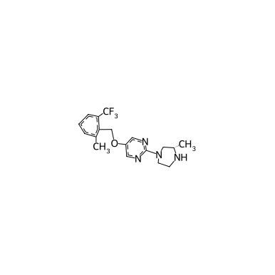 Cc1cccc(C(F)(F)F)c1COc1cnc(N2CCN[C@@H](C)C2)nc1